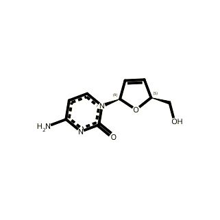 Nc1ccn([C@H]2C=C[C@@H](CO)O2)c(=O)n1